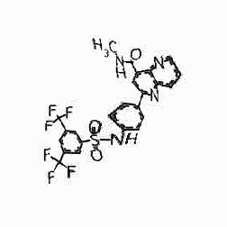 CNC(=O)c1cc(-c2ccc(NS(=O)(=O)c3cc(C(F)(F)F)cc(C(F)(F)F)c3)cc2)nc2cccnc12